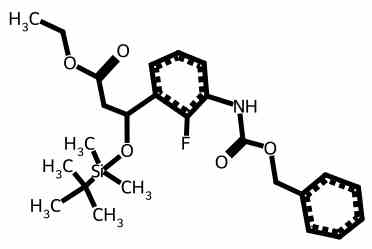 CCOC(=O)CC(O[Si](C)(C)C(C)(C)C)c1cccc(NC(=O)OCc2ccccc2)c1F